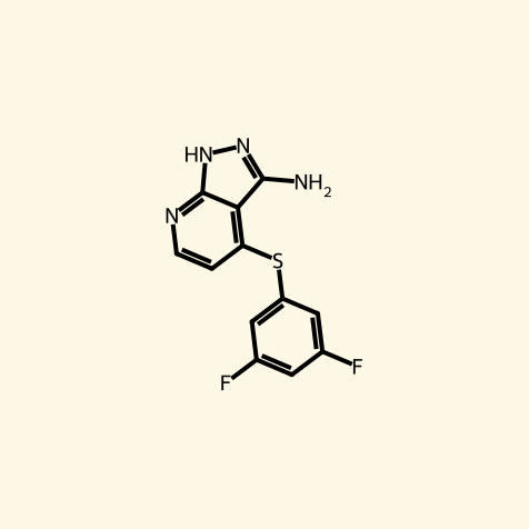 Nc1n[nH]c2nccc(Sc3cc(F)cc(F)c3)c12